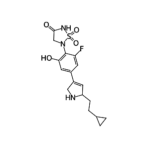 O=C1CN(c2c(O)cc(C3=CC(CCC4CC4)NC3)cc2F)S(=O)(=O)N1